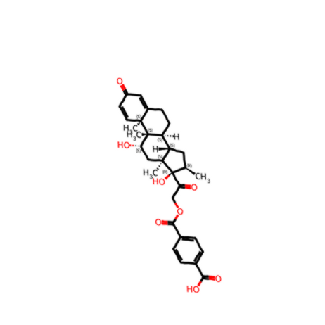 C[C@@H]1C[C@H]2[C@@H]3CCC4=CC(=O)C=C[C@]4(C)[C@@]3(C)[C@@H](O)C[C@]2(C)[C@@]1(O)C(=O)COC(=O)c1ccc(C(=O)O)cc1